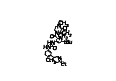 CCc1ccc(-c2cc(NC(=O)NC3=CC(C(C)(C)C)N=C3C(=O)N3CCN(C)C(=O)C3(C)C)ccc2C)cn1